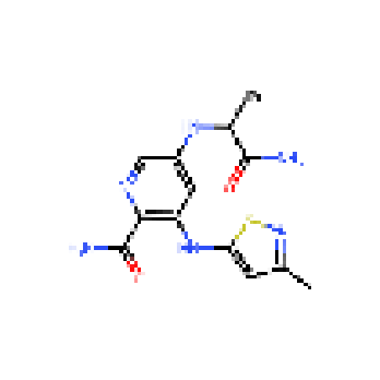 Cc1cc(Nc2cc(NC(C(N)=O)C(C)C)cnc2C(N)=O)sn1